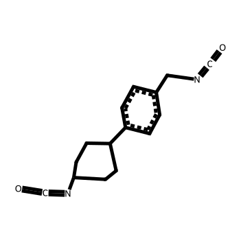 O=C=NCc1ccc(C2CCC(N=C=O)CC2)cc1